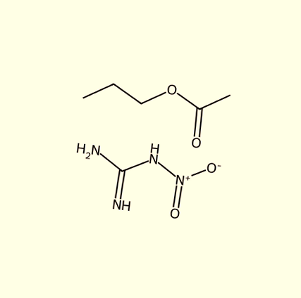 CCCOC(C)=O.N=C(N)N[N+](=O)[O-]